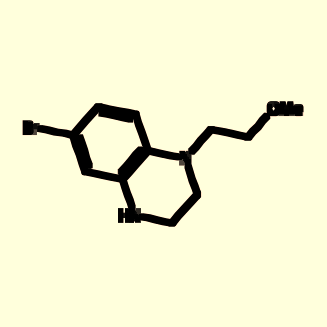 COCCN1CCNc2cc(Br)ccc21